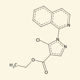 CCOC(=O)c1cnn(-c2nccc3ccccc23)c1Cl